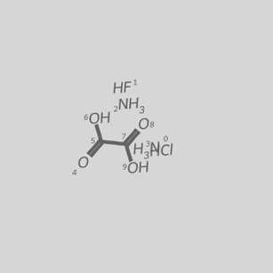 Cl.F.N.N.O=C(O)C(=O)O